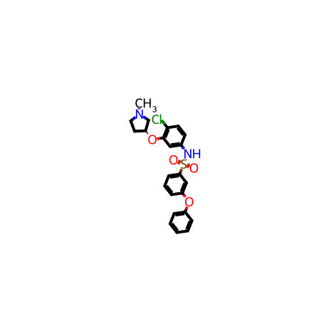 CN1CC[C@@H](Oc2cc(NS(=O)(=O)c3cccc(Oc4ccccc4)c3)ccc2Cl)C1